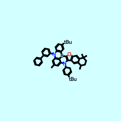 Cc1cc2c3c(c1)N(C1C=CC(C(C)(C)C)=CC1)c1c(oc4cc5c(cc14)C(C)CCC5(C)C)B3c1cc(C(C)(C)C)ccc1N2c1cccc(-c2ccccc2)c1